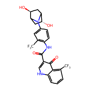 O=C(Nc1ccc(N2C3C[C@H](O)C2C[C@H]3O)cc1C(F)(F)F)c1c[nH]c2cccc(C(F)(F)F)c2c1=O